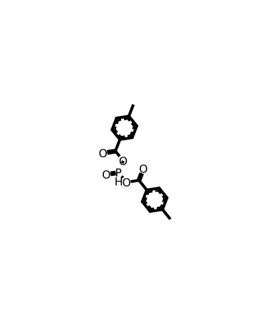 Cc1ccc(C(=O)O[PH](=O)OC(=O)c2ccc(C)cc2)cc1